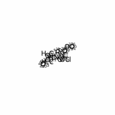 CC1CN(C(=O)C(c2cccs2)N(C(=O)CCl)c2ccc(Oc3ccccc3)cc2)CC(C)N1C(=O)OCc1ccccc1